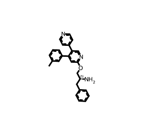 Cc1cccc(-c2cc(OC[C@@H](N)Cc3ccccc3)ncc2-c2ccncc2)c1